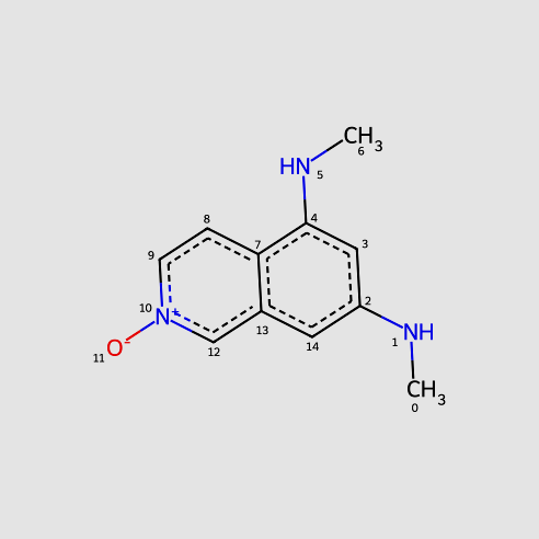 CNc1cc(NC)c2cc[n+]([O-])cc2c1